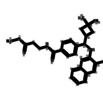 COC(=O)CCNC(=O)c1ccc([C@H](Nc2nc3ccccc3cc2C)C2CC(C)(C)C2)cc1